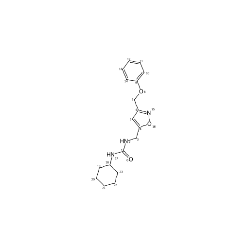 O=C(NCc1cc(COc2ccccc2)no1)NC1CCCCC1